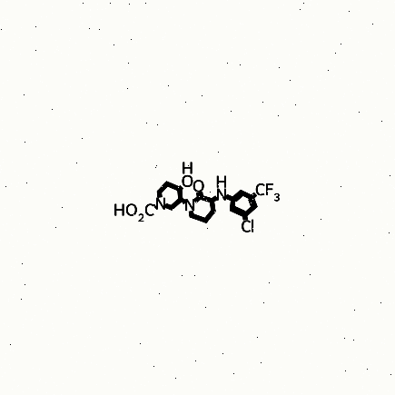 O=C(O)N1CCC(O)C(N2CCCC(Nc3cc(Cl)cc(C(F)(F)F)c3)C2=O)C1